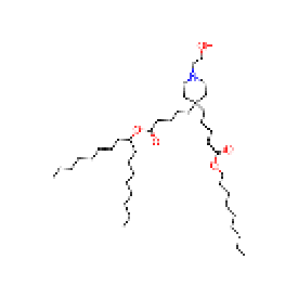 CCCCCCCCCOC(=O)CCCCC1(CCCCC(=O)OC(CCCCCCCC)CCCCCCCC)CCN(CCO)CC1